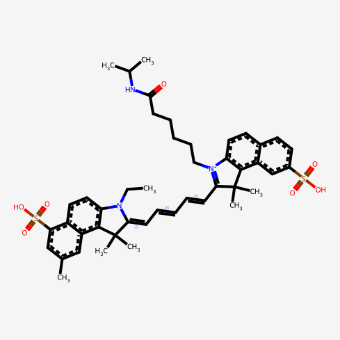 CCN1\C(=C/C=C/C=C/C2=[N+](CCCCCC(=O)NC(C)C)c3ccc4ccc(S(=O)(=O)O)cc4c3C2(C)C)C(C)(C)c2c1ccc1c(S(=O)(=O)O)cc(C)cc21